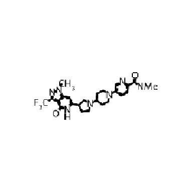 CNC(=O)c1ccc(N2CCC(N3CCC(c4cc5c(c(C(F)(F)F)nn5C)c(=O)[nH]4)C3)CC2)cn1